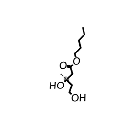 CCCCCOC(=O)C[C@](C)(O)CCO